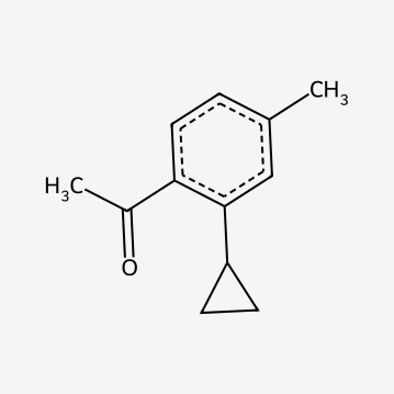 CC(=O)c1ccc(C)cc1C1CC1